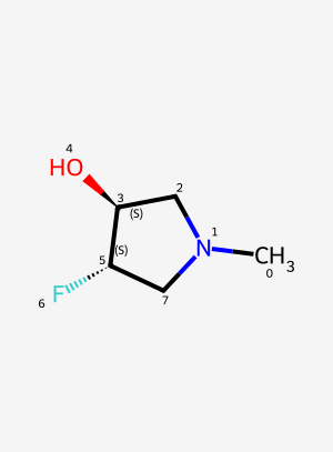 CN1C[C@H](O)[C@@H](F)C1